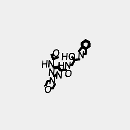 O=C(NCC(O)CN1Cc2ccccc2C1)c1cc(NC2COC2)nc(N2CCOCC2)n1